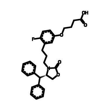 O=C(O)CCCOc1ccc(F)c(CCCN2C(=O)OC[C@@H]2C(c2ccccc2)c2ccccc2)c1